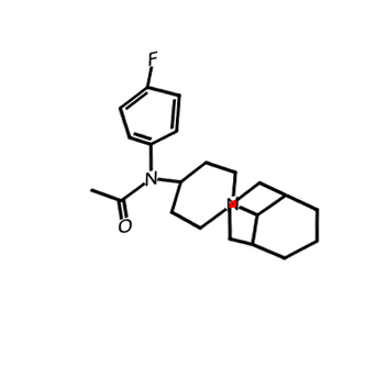 CC(=O)N(c1ccc(F)cc1)C1CCN(C2C3CCCC2CCC3)CC1